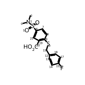 CN(C)S(=O)(=O)c1ccc(SCc2ccc(F)cc2)c(C(=O)O)c1